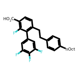 CCCCCCCCc1ccc(CCc2ccc(C(=O)O)c(F)c2-c2cc(F)c(F)c(F)c2)cc1